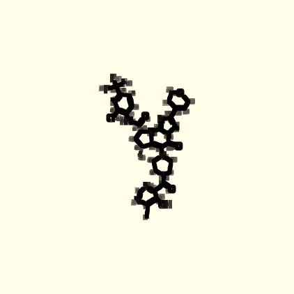 Cc1ncnc(C(=O)N2CCN(c3c4n(c5nc(C6=CCOCC6)nn5c3=O)[C@@H](C(=O)Nc3ccc(C(F)(F)F)nc3Cl)C[C@H]4C)CC2)c1O